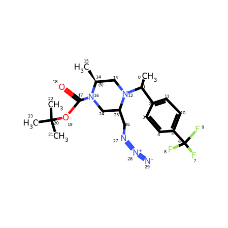 CC(c1ccc(C(F)(F)F)cc1)N1C[C@H](C)N(C(=O)OC(C)(C)C)CC1CN=[N+]=[N-]